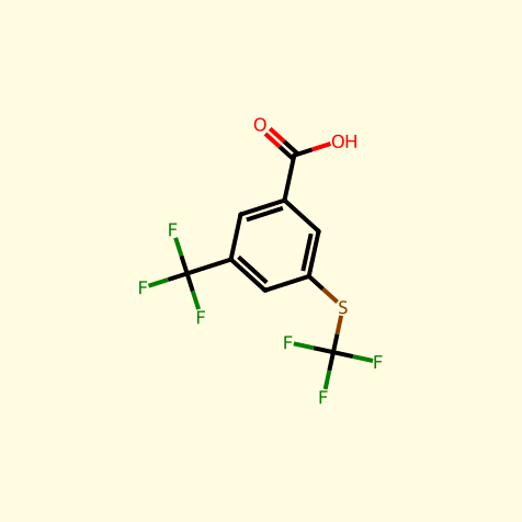 O=C(O)c1cc(SC(F)(F)F)cc(C(F)(F)F)c1